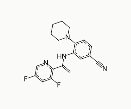 C=C(Nc1cc(C#N)ccc1N1CCCCC1)c1ncc(F)cc1F